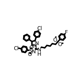 COC(CCCCCCNC(=NS(=O)(=O)c1ccc(Cl)cc1)N1CC(c2ccccc2)C(c2ccc(Cl)cc2)=N1)(OC)c1ccc(F)cc1